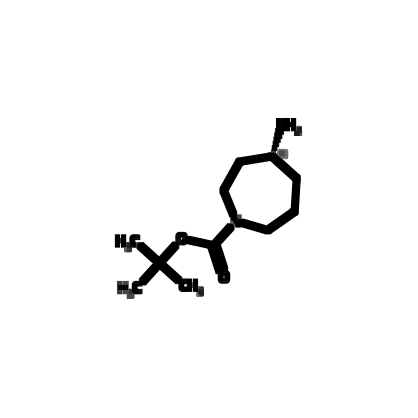 CC(C)(C)OC(=O)N1CCC[C@@H](N)CC1